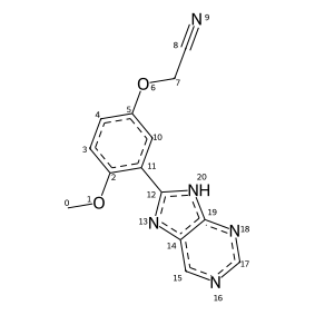 COc1ccc(OCC#N)cc1-c1nc2cncnc2[nH]1